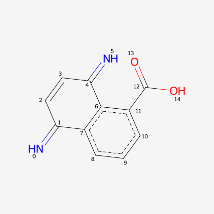 N=C1C=CC(=N)c2c1cccc2C(=O)O